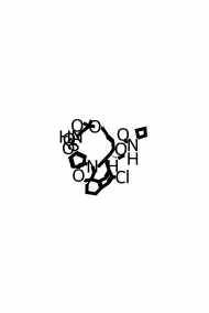 CC[C@H]1[C@@H](OC(=O)NC2CCC2)/C=C/COC(C)(C)C(=O)NS(=O)(=O)c2ccc3c(c2)N2C[C@@H]1c1cc4c(cc1Cl)CCC[C@@]4(CO3)C2